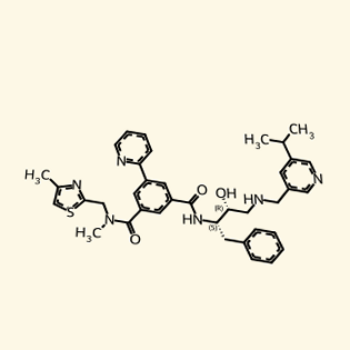 Cc1csc(CN(C)C(=O)c2cc(C(=O)N[C@@H](Cc3ccccc3)[C@H](O)CNCc3cncc(C(C)C)c3)cc(-c3ccccn3)c2)n1